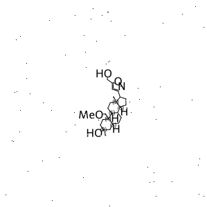 COC[C@]12CC[C@@](C)(O)C[C@@H]1CCC1[C@@H]2CC[C@]2(C)C(c3cc(CO)on3)CC[C@@H]12